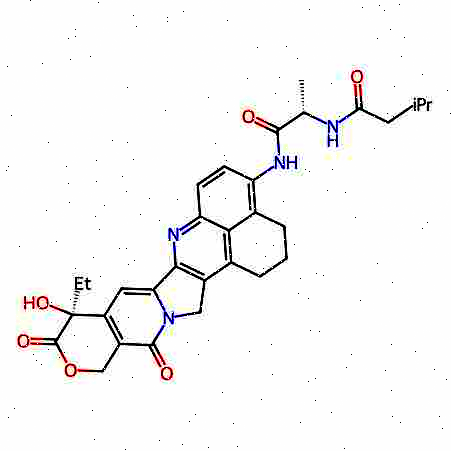 CC[C@@]1(O)C(=O)OCc2c1cc1n(c2=O)Cc2c-1nc1ccc(NC(=O)[C@H](C)NC(=O)CC(C)C)c3c1c2CCC3